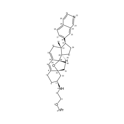 CCCOCCN[C@H]1CCC2=CC3=CC[C@]4(C)[C@@H](c5ccc6ccncc6c5)CC[C@H]4[C@@]34CC[C@]2(C1)O4